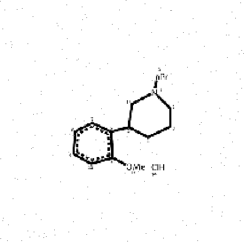 CCCN1CCCC(c2ccccc2OC)C1.Cl